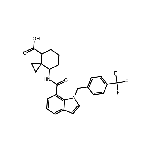 O=C(NC1CCCC(C(=O)O)C12CC2)c1cccc2ccn(Cc3ccc(C(F)(F)F)cc3)c12